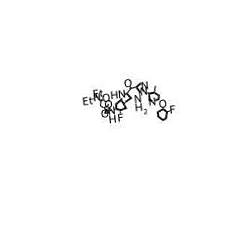 CCN(CC)C(=O)CS(=O)(=O)Nc1cc2[nH]c(C(=O)c3cnn(-c4cnc(Oc5ccccc5F)cc4C)c3N)cc2cc1F